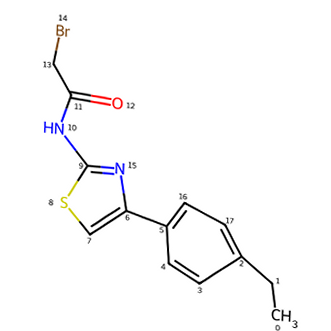 CCc1ccc(-c2csc(NC(=O)CBr)n2)cc1